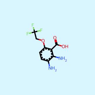 Nc1ccc(OCC(F)(F)F)c(C(=O)O)c1N